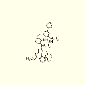 C=CC1=NC2CC(N(C)c3ccccc3Nc3c(C(C)C)cc(-c4ccccc4)cc3C(C)S)=C(CC(=C)/C=C\C)C2c2ccccc21